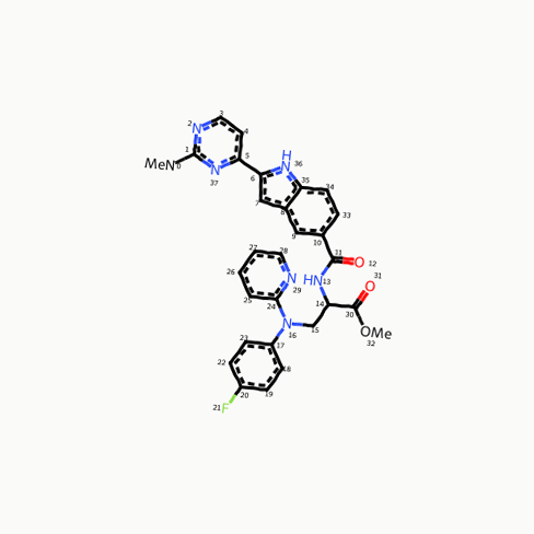 CNc1nccc(-c2cc3cc(C(=O)NC(CN(c4ccc(F)cc4)c4ccccn4)C(=O)OC)ccc3[nH]2)n1